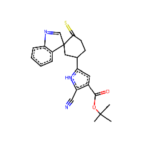 CC(C)(C)OC(=O)c1cc(C2CCC(=S)C3(C=Nc4ccccc43)C2)[nH]c1C#N